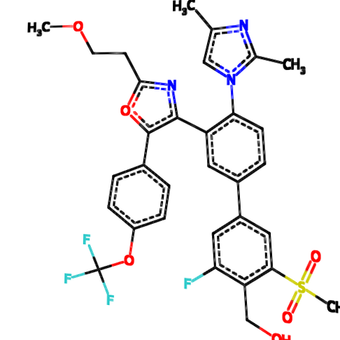 COCCc1nc(-c2cc(-c3cc(F)c(CO)c(S(C)(=O)=O)c3)ccc2-n2cc(C)nc2C)c(-c2ccc(OC(F)(F)F)cc2)o1